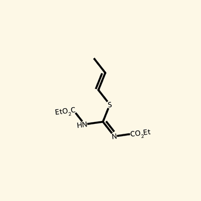 CC=CSC(=NC(=O)OCC)NC(=O)OCC